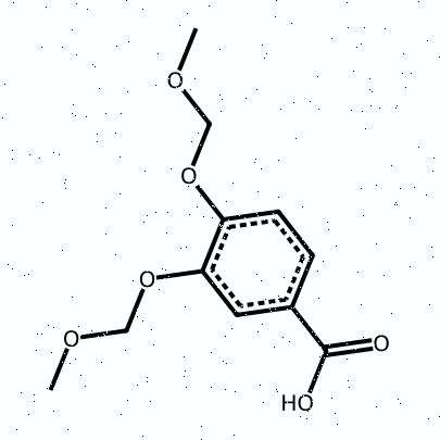 COCOc1ccc(C(=O)O)cc1OCOC